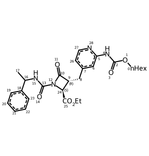 CCCCCCOC(=O)Nc1cc(C[C@H]2C(=O)N(C(=O)NC(C)c3ccccc3)[C@@H]2C(=O)OCC)ccn1